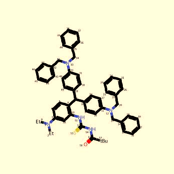 CCN(CC)c1ccc(C(c2ccc(N(Cc3ccccc3)Cc3ccccc3)cc2)c2ccc(N(Cc3ccccc3)Cc3ccccc3)cc2)c(NC(=S)NC(=O)C(C)(C)C)c1